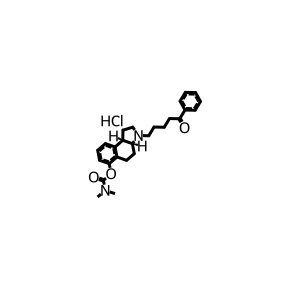 CN(C)C(=O)Oc1cccc2c1CC[C@@H]1[C@H]2CCN1CCCCC(=O)c1ccccc1.Cl